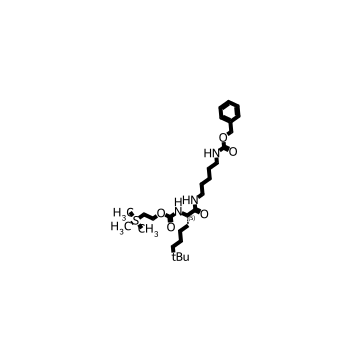 CC(C)(C)CCCC[C@H](NC(=O)OCCS(C)(C)C)C(=O)NCCCCCNC(=O)OCc1ccccc1